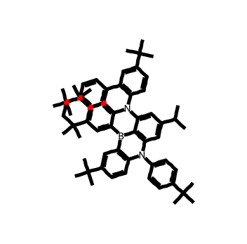 CC(C)c1cc2c3c(c1)N(c1ccc(C(C)(C)C)cc1-c1ccc(C(C)(C)C)cc1)c1cc4c(cc1B3c1cc(C(C)(C)C)ccc1N2c1ccc(C(C)(C)C)cc1)C(C)(C)CCC4(C)C